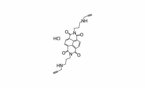 C#CCNCCCN1C(=O)c2ccc3c4c(ccc(c24)C1=O)C(=O)N(CCCNCC#C)C3=O.Cl